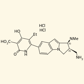 CCc1c(-c2ccc3c(c2)cc2n3C[C@H](CN)[C@@H]2NC)[nH]c(=O)c(C(=O)O)c1O.Cl.Cl